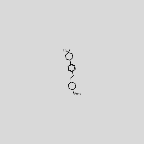 CCCCC[C@H]1CC[C@H](CCc2ccc(C3CCC(C)(CC)CC3)cc2)CC1